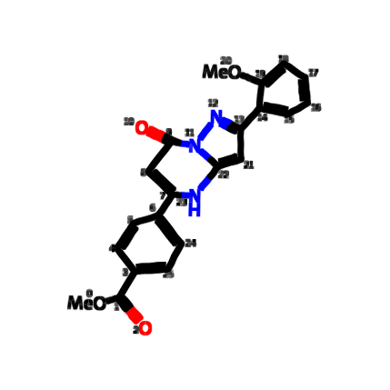 COC(=O)c1ccc(-c2cc(=O)n3nc(-c4ccccc4OC)cc3[nH]2)cc1